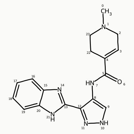 CN1CC=C(C(=O)Nc2c[nH]nc2-c2nc3ccccc3[nH]2)CC1